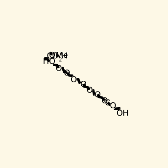 C=C(C)C(=O)O.COC.OCCOCCOCCOCCOCCOCCOCCOCCOCCO